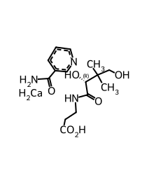 CC(C)(CO)[C@@H](O)C(=O)NCCC(=O)O.NC(=O)c1cccnc1.[CaH2]